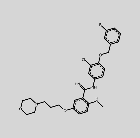 CNc1ccc(OCCCN2CCOCC2)cc1C(=N)Nc1ccc(OCc2cccc(F)c2)c(Cl)c1